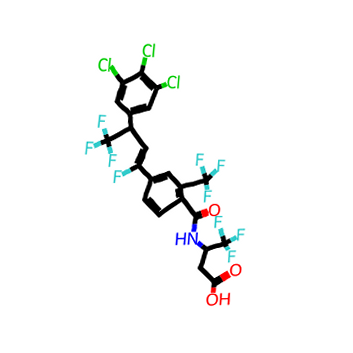 O=C(O)CC(NC(=O)c1ccc(C(F)=CC(c2cc(Cl)c(Cl)c(Cl)c2)C(F)(F)F)cc1C(F)(F)F)C(F)(F)F